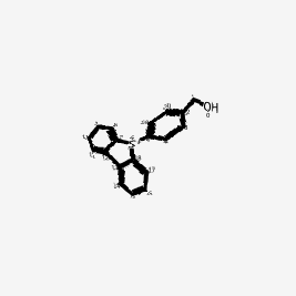 OCc1ccc(-[s+]2c3ccccc3c3ccccc32)cc1